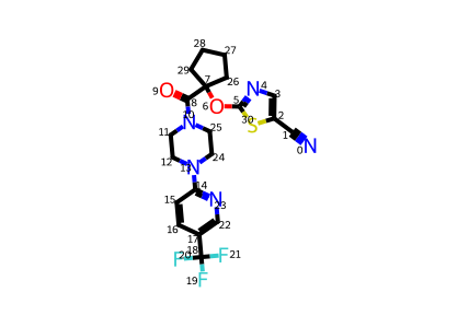 N#Cc1cnc(OC2(C(=O)N3CCN(c4ccc(C(F)(F)F)cn4)CC3)CCCC2)s1